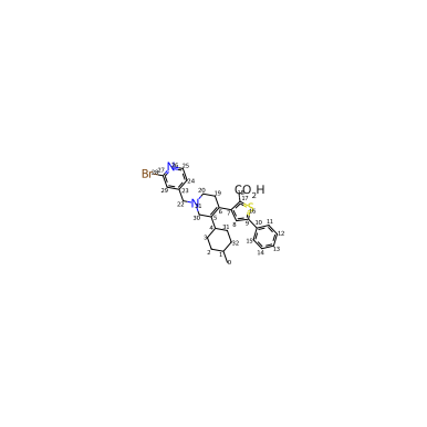 CC1CCC(C2=C(c3cc(-c4ccccc4)sc3C(=O)O)CCN(Cc3ccnc(Br)c3)C2)CC1